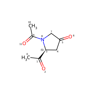 CC(=O)[C@@H]1CC(=O)CN1C(C)=O